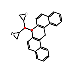 c1ccc2c(Cc3c(OCC4CO4)ccc4ccccc34)c(OCC3CO3)ccc2c1